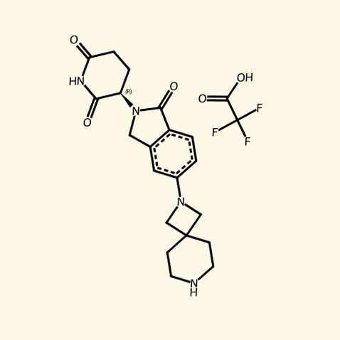 O=C(O)C(F)(F)F.O=C1CC[C@@H](N2Cc3cc(N4CC5(CCNCC5)C4)ccc3C2=O)C(=O)N1